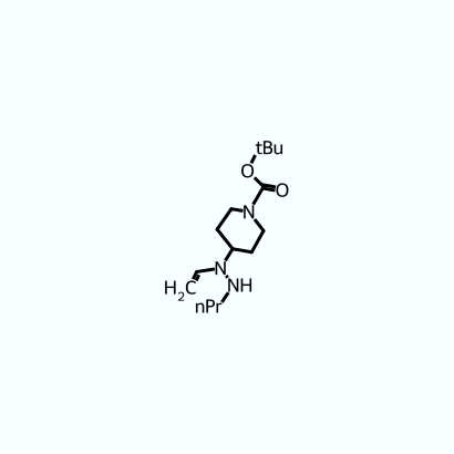 C=CN(NCCC)C1CCN(C(=O)OC(C)(C)C)CC1